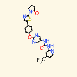 O=C(Nc1cnc(Oc2ccc(-c3cnc(N4CCCC4=O)s3)cc2)nc1)Nc1cc(C(F)(F)F)ccn1